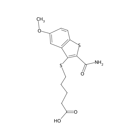 COc1ccc2sc(C(N)=O)c(SCCCCC(=O)O)c2c1